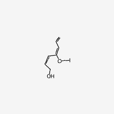 C=C/C=C(\C=C/CO)OI